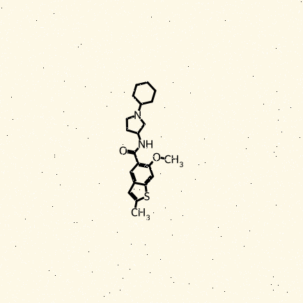 COc1cc2sc(C)cc2cc1C(=O)NC1CCN(C2CCCCC2)C1